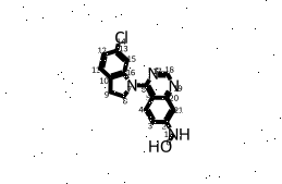 ONc1ccc2c(N3CCc4ccc(Cl)cc43)ncnc2c1